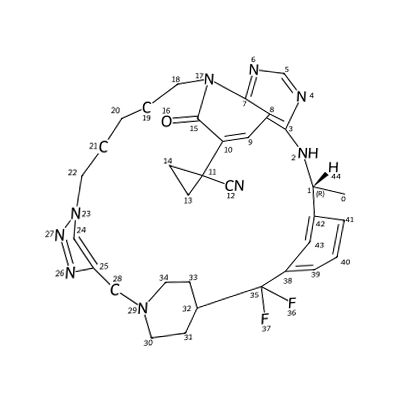 C[C@H]1Nc2ncnc3c2cc(C2(C#N)CC2)c(=O)n3CCCCCn2cc(nn2)CN2CCC(CC2)C(F)(F)c2cccc1c2